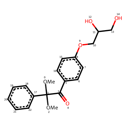 COC(OC)(C(=O)c1ccc(OCC(O)CO)cc1)c1ccccc1